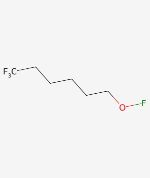 FOCCCCCC(F)(F)F